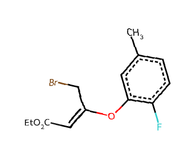 CCOC(=O)C=C(CBr)Oc1cc(C)ccc1F